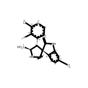 O=C(O)[C@@H]1NC2(CCCC2)[C@@]2(C(=O)Nc3cc(Cl)ccc32)[C@H]1c1ccnc(Cl)c1F